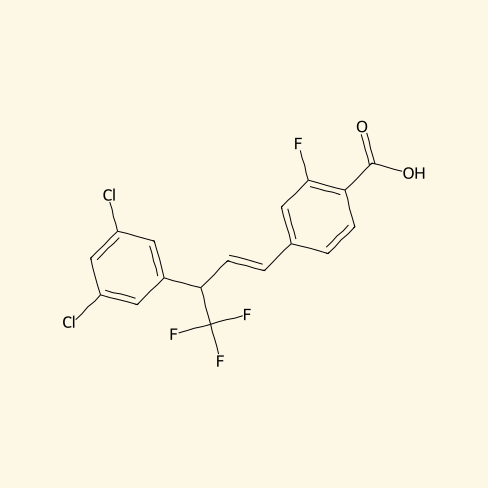 O=C(O)c1ccc(/C=C/C(c2cc(Cl)cc(Cl)c2)C(F)(F)F)cc1F